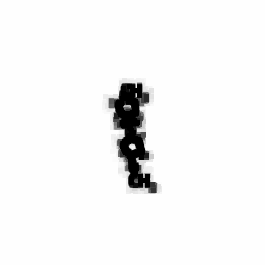 CC#CC1CCC(N2CC3(CCN(C)CC3)C2)CC1